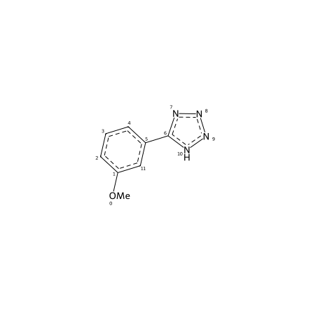 COc1cccc(-c2nnn[nH]2)c1